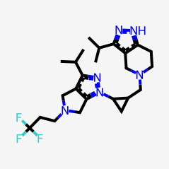 CC(C)c1n[nH]c2c1CN(CC1CC1n1nc(C(C)C)c3c1CN(CCC(F)(F)F)C3)CC2